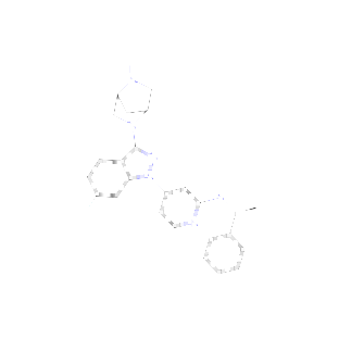 C[C@H](Nc1cc(-n2nc(N3CC4CC3CN4)c3ccc(F)cc32)ccn1)c1ccccc1